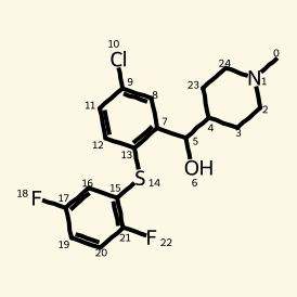 CN1CCC(C(O)c2cc(Cl)ccc2Sc2cc(F)ccc2F)CC1